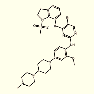 COc1cc(N2CCC(N3CCN(C)CC3)CC2)ccc1Nc1ncc(Br)c(Nc2cccc3c2N(S(C)(=O)=O)CC3)n1